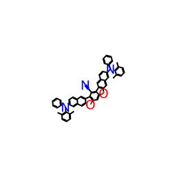 Cc1cccc(C)c1N(c1ccccc1)c1ccc2cc3c(cc2c1)oc1cc2oc4cc5cc(N(c6ccccc6)c6c(C)cccc6C)ccc5cc4c2c(C#N)c13